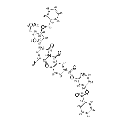 CC(=O)OC[C@H]1O[C@@H](n2cc(F)c(=O)n(C(=O)c3cccc(C(=O)Oc4cc(OC(=O)c5ccccc5)ccn4)c3)c2=O)C[C@@H]1OCc1ccccc1